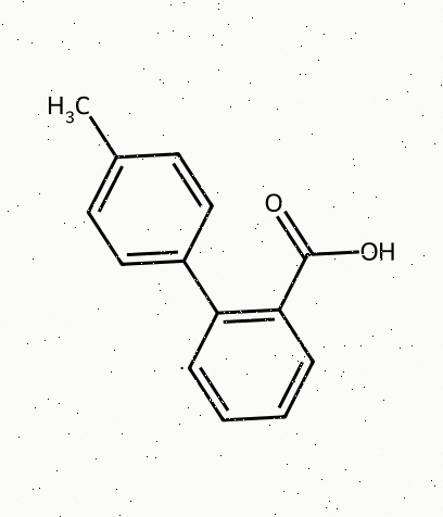 Cc1ccc(-c2[c]cccc2C(=O)O)cc1